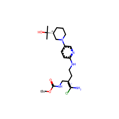 CC(C)(C)OC(=O)NC/C(CCNc1ccc(N2CCC[C@@H](C(C)(C)O)C2)cn1)=C(/N)Cl